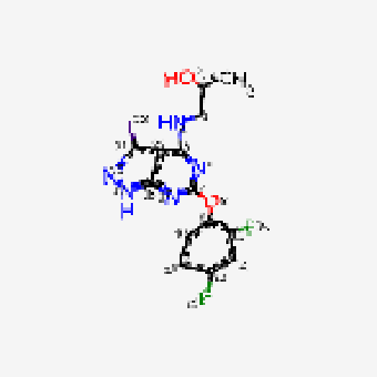 CC(O)CNc1nc(Oc2ccc(F)cc2F)nc2[nH]nc(I)c12